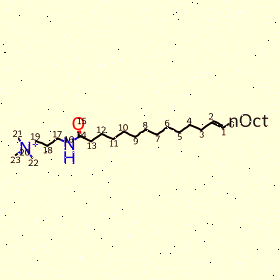 CCCCCCCC/C=C/CCCCCCCCCCCC(=O)NCCC[N+](C)(C)C